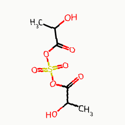 CC(O)C(=O)OS(=O)(=O)OC(=O)C(C)O